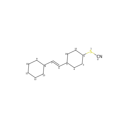 N#CSC1CCC(/C=C/C2CCCCC2)CC1